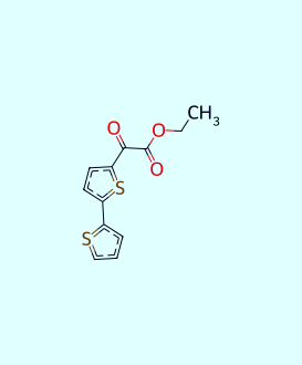 CCOC(=O)C(=O)c1ccc(-c2cccs2)s1